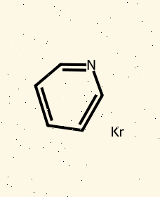 [Kr].c1ccncc1